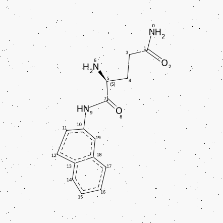 NC(=O)CC[C@H](N)C(=O)Nc1ccc2ccccc2c1